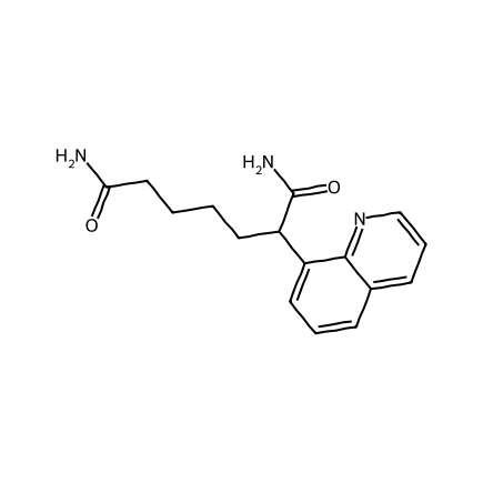 NC(=O)CCCCC(C(N)=O)c1cccc2cccnc12